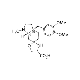 COc1ccc(C[C@]23CCN(C)[C@H]2CC2(CC3)NC(C(=O)O)CO2)cc1OC